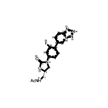 CC(=O)NC[C@H]1CN(c2ccc(-c3ccc4nnnn4c3)c(F)c2)C(=O)O1